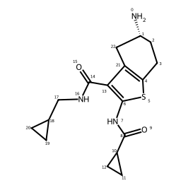 N[C@@H]1CCc2sc(NC(=O)C3CC3)c(C(=O)NCC3CC3)c2C1